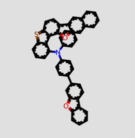 c1ccc(N(c2ccc(-c3ccc4c(c3)oc3ccccc34)cc2)c2cccc3sc4ccc5c6cc7ccccc7cc6oc5c4c23)cc1